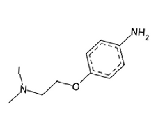 CN(I)CCOc1ccc(N)cc1